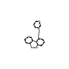 c1cncc(COc2cccc3c2-c2ccccc2CN3)c1